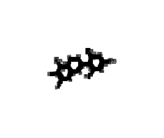 Cc1c(F)cc2cc(-c3c(F)cc(F)cc3F)ccc2c1F